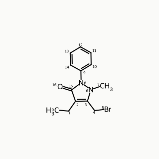 CCc1c(CBr)n(C)n(-c2ccccc2)c1=O